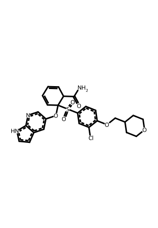 NC(=O)C1C=CC=CC1(Oc1cnc2[nH]ccc2c1)S(=O)(=O)c1ccc(OCC2CCOCC2)c(Cl)c1